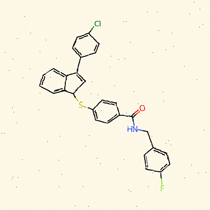 O=C(NCc1ccc(F)cc1)c1ccc(SC2C=C(c3ccc(Cl)cc3)c3ccccc32)cc1